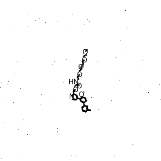 COCCOCCOCCOCCNC(=O)COCc1cc(-c2cc(-c3cccc(C)c3)ccc2OC)ccn1